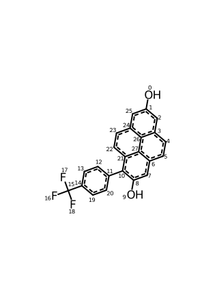 Oc1cc2ccc3cc(O)c(-c4ccc(C(F)(F)F)cc4)c4ccc(c1)c2c34